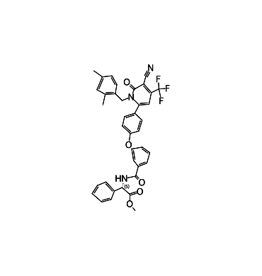 COC(=O)[C@@H](NC(=O)c1cccc(Oc2ccc(-c3cc(C(F)(F)F)c(C#N)c(=O)n3Cc3ccc(C)cc3C)cc2)c1)c1ccccc1